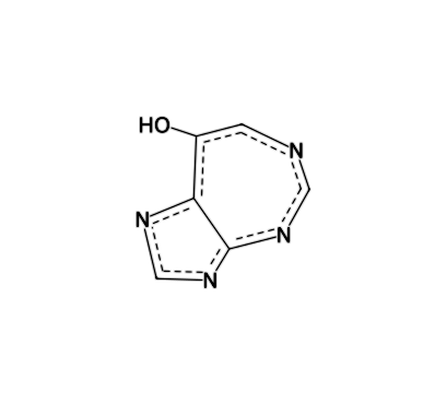 Oc1cncnc2ncnc1-2